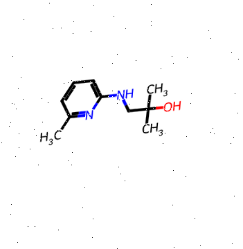 Cc1cccc(NCC(C)(C)O)n1